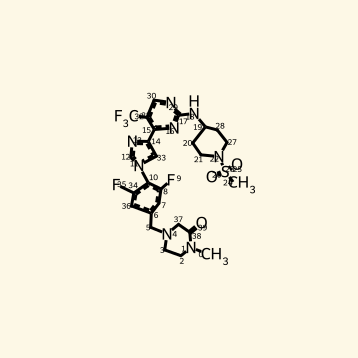 CN1CCN(Cc2cc(F)c(-n3cnc(-c4nc(NC5CCN(S(C)(=O)=O)CC5)ncc4C(F)(F)F)c3)c(F)c2)CC1=O